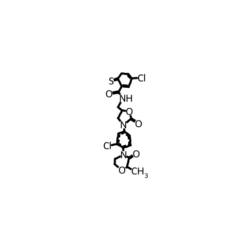 CC1OCCN(c2ccc(N3CC(CNC(=O)C4=CC(Cl)=CCC4=S)OC3=O)cc2Cl)C1=O